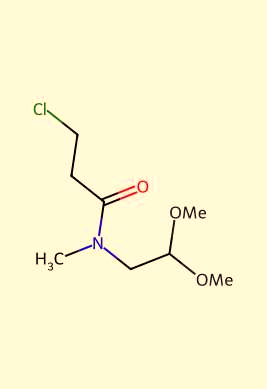 COC(CN(C)C(=O)CCCl)OC